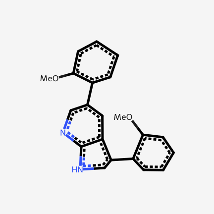 COc1ccccc1-c1cnc2[nH]cc(-c3ccccc3OC)c2c1